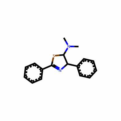 CN(C)C1SC(c2ccccc2)=NC1c1ccccc1